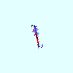 CCCC(=O)NCCOCCOCCOCCOCCC(=O)NCC(=O)NCC(=O)NCC(=O)NCC(C)=O